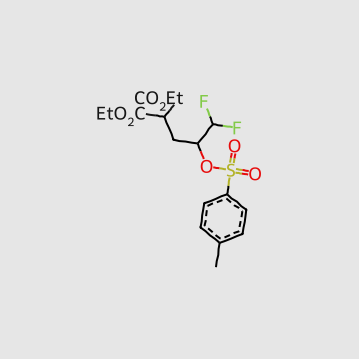 CCOC(=O)C(CC(OS(=O)(=O)c1ccc(C)cc1)C(F)F)C(=O)OCC